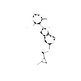 COc1ncnc(C)c1-c1cc2cc(NC(=O)C3CC3F)ncc2n1C